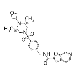 C[C@@H]1CN(S(=O)(=O)c2ccc(CNC(=O)c3cc4ccncc4o3)cc2)C[C@H](C)N1C1COC1